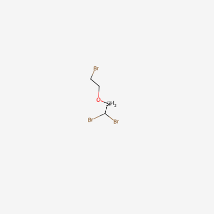 BrCCO[SiH2]C(Br)Br